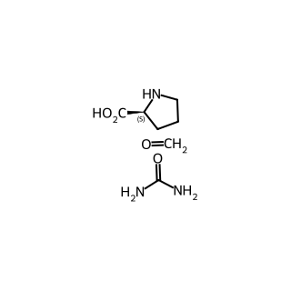 C=O.NC(N)=O.O=C(O)[C@@H]1CCCN1